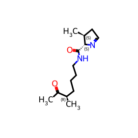 CC(=O)[C@H](C)CCCCNC(=O)[C@H]1N=CC[C@@H]1C